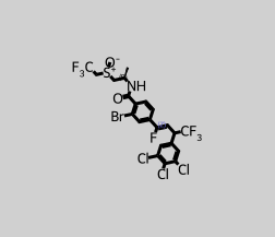 C[C@H](C[S+]([O-])CC(F)(F)F)NC(=O)c1ccc(/C(F)=C/C(c2cc(Cl)c(Cl)c(Cl)c2)C(F)(F)F)cc1Br